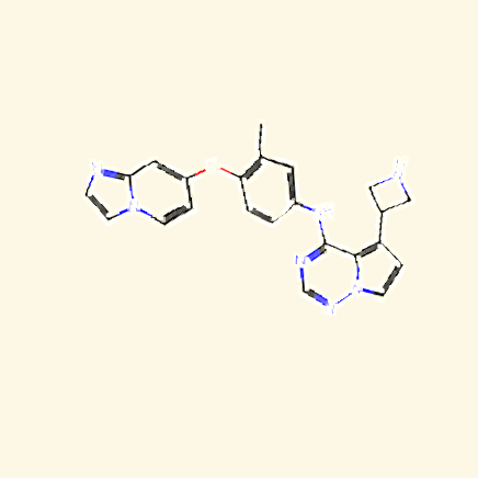 Cc1cc(Nc2ncnn3ccc(C4CNC4)c23)ccc1Oc1ccn2ccnc2c1